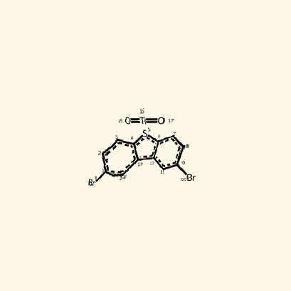 Brc1ccc2sc3ccc(Br)cc3c2c1.[O]=[Ti]=[O]